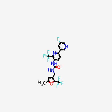 Cc1cc(CNC(=O)Nc2ccc(-c3cncc(F)c3)nc2C(F)(F)F)c(C(F)(F)F)o1